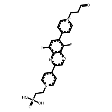 O=CCC[n+]1ccc(-c2cc(F)c3nc(-c4cc[n+](CCP(=O)(O)O)cc4)cnc3c2F)cc1